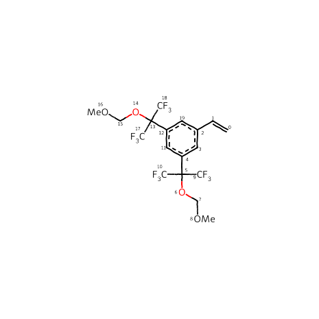 C=Cc1cc(C(OCOC)(C(F)(F)F)C(F)(F)F)cc(C(OCOC)(C(F)(F)F)C(F)(F)F)c1